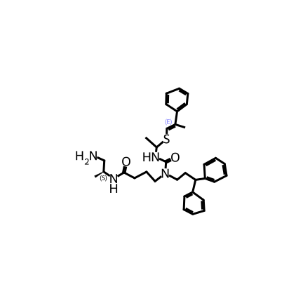 C/C(=C\SC(C)NC(=O)N(CCCC(=O)N[C@@H](C)CN)CCC(c1ccccc1)c1ccccc1)c1ccccc1